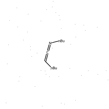 CCCCC=C=NCCCC